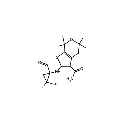 CC1(C)Cc2c(sc(NC3(C=O)CC3(F)F)c2C(N)=O)C(C)(C)O1